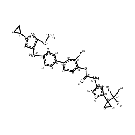 COc1nn(C2CC2)cc1Nc1ncc(-c2ccc(CC(=O)Nc3cc(C4(C(F)(F)F)CC4)on3)c(F)c2)cn1